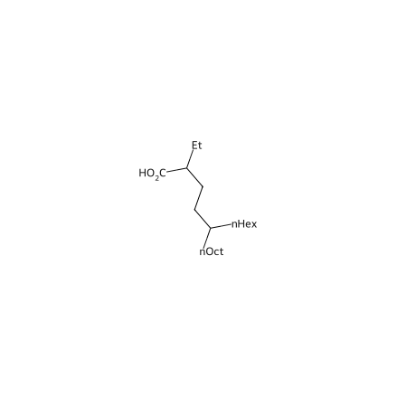 CCCCCCCCC(CCCCCC)CCC(CC)C(=O)O